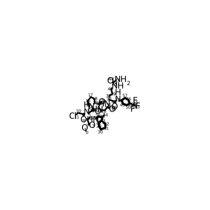 COC(=O)CC[C@H](NC(=O)CCl)C(=O)N1CCCC[C@H]1C(=O)N[C@@H](Cc1c[nH]c2ccccc12)C(=O)N[C@@H](CCCNC(N)=O)C(=O)Nc1ccc(C(F)(F)F)cc1